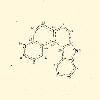 c1ccc2c(c1)nc1ccc3ccc4onccc4c3c12